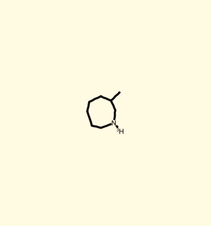 [3H]N1CCCCCC(C)C1